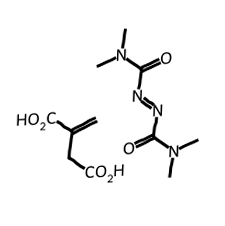 C=C(CC(=O)O)C(=O)O.CN(C)C(=O)N=NC(=O)N(C)C